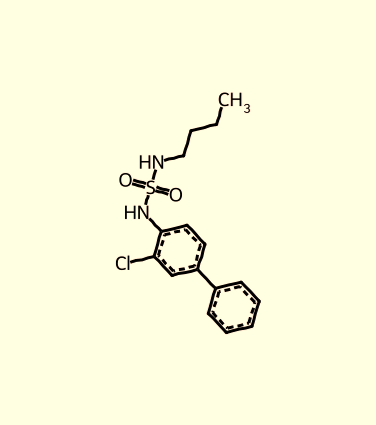 CCCCNS(=O)(=O)Nc1ccc(-c2ccccc2)cc1Cl